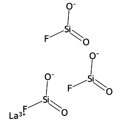 O=[Si]([O-])F.O=[Si]([O-])F.O=[Si]([O-])F.[La+3]